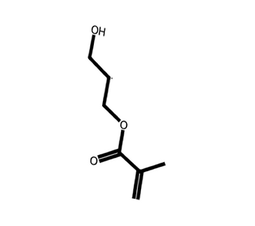 C=C(C)C(=O)OC[CH]CO